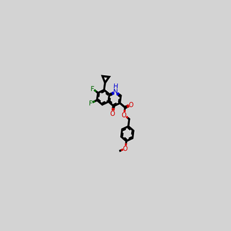 COc1ccc(COC(=O)c2c[nH]c3c(C4CC4)c(F)c(F)cc3c2=O)cc1